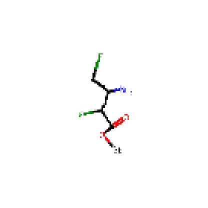 CCOC(=O)C(F)C(N)CF